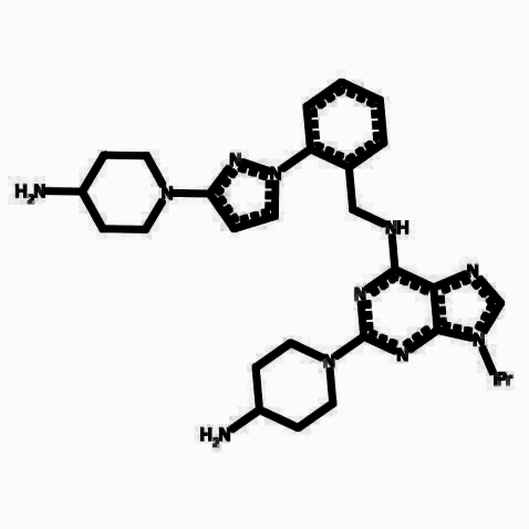 CC(C)n1cnc2c(NCc3ccccc3-n3ccc(N4CCC(N)CC4)n3)nc(N3CCC(N)CC3)nc21